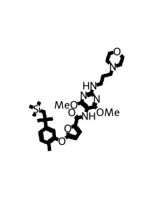 COc1nc(NCCCN2CCOCC2)nc(OC)c1NC(=O)c1ccc(Oc2cc(C(C)(C)C[Si](C)(C)C)ccc2C)o1